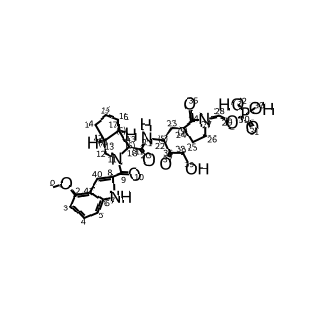 COc1cccc2[nH]c(C(=O)N3C[C@@H]4CCC[C@@H]4[C@H]3C(=O)N[C@@H](C[C@@H]3CCN(COP(=O)(O)O)C3=O)C(=O)CO)cc12